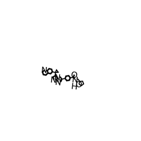 O=C(NCC1CCCO1)c1ccc(-c2cnc3ncc(C4(c5ccc6ncccc6c5)CC4)n3c2)cc1